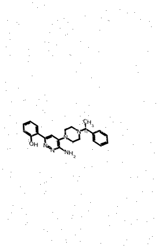 C[C@@H](c1ccccc1)N1CCN(c2cc(-c3ccccc3O)nnc2N)CC1